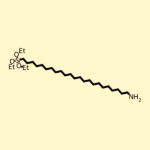 CCO[Si](CCCCCCCCCCCCCCCCCCCCCCCN)(OCC)OCC